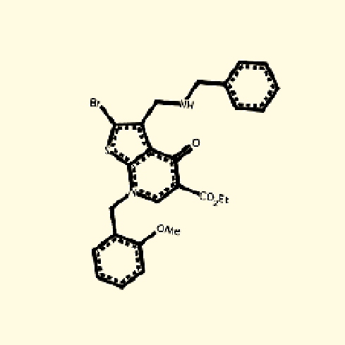 CCOC(=O)c1cn(Cc2ccccc2OC)c2sc(Br)c(CNCc3ccccc3)c2c1=O